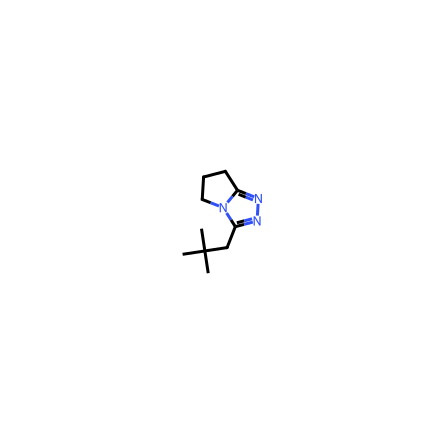 CC(C)(C)Cc1nnc2n1CCC2